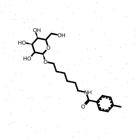 Cc1ccc(C(=O)NCCCCCCO[C@@H]2OC(CO)[C@H](O)[C@H](O)C2O)cc1